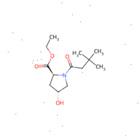 CCOC(=O)[C@@H]1C[C@@H](O)CN1C(=O)CC(C)(C)C